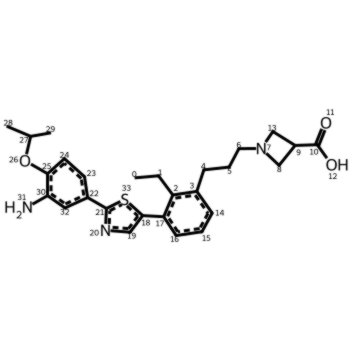 CCc1c(CCCN2CC(C(=O)O)C2)cccc1-c1cnc(-c2ccc(OC(C)C)c(N)c2)s1